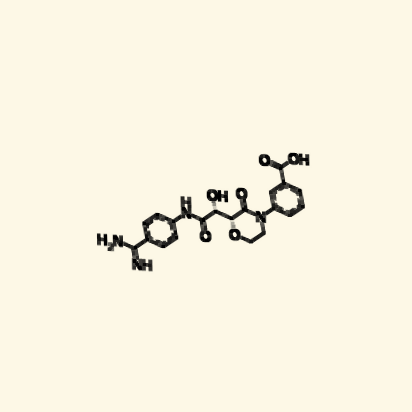 N=C(N)c1ccc(NC(=O)[C@H](O)[C@H]2OCCN(c3cccc(C(=O)O)c3)C2=O)cc1